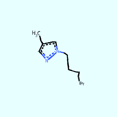 Cc1[c]nn(CCCC(C)C)c1